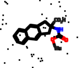 CC(C)(C)OC(=O)NC1(C(=O)O)Cc2cc3ccccc3cc2C1